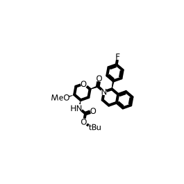 CO[C@@H]1CO[C@@H](C(=O)N2CCc3ccccc3[C@@H]2c2ccc(F)cc2)C[C@@H]1NC(=O)OC(C)(C)C